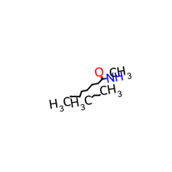 CCCC.CCCCCCCC(=O)NC